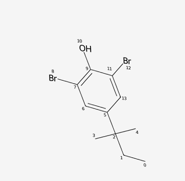 CCC(C)(C)c1cc(Br)c(O)c(Br)c1